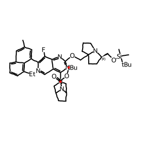 CCc1cccc2cc(C)cc(-c3ncc4c(N5CC6CCC(C5)N6C(=O)OC(C)(C)C)nc(OCC56CCCN5[C@@H](CO[Si](C)(C)C(C)(C)C)CC6)nc4c3F)c12